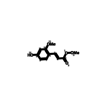 COOC(=O)C=Cc1ccc(O)cc1OC